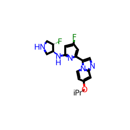 CC(C)Oc1ccn2c(-c3cc(F)cc(N[C@H]4CNC[C@@H]4F)n3)cnc2c1